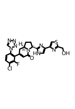 O=C1C=C(c2c(-n3cnnn3)ccc(Cl)c2F)C[C@H]2CC[C@@H](c3nc(-c4csc(CO)n4)c[nH]3)N12